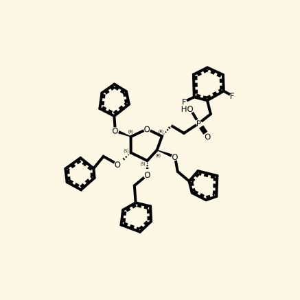 O=P(O)(CC[C@H]1O[C@H](Oc2ccccc2)[C@@H](OCc2ccccc2)[C@@H](OCc2ccccc2)[C@@H]1OCc1ccccc1)Cc1c(F)cccc1F